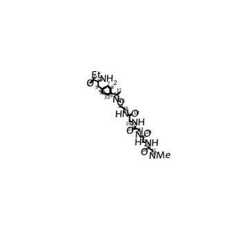 CCC(=O)[C@@H](N)Cc1ccc(/C(C)=N/OCCNC(=O)CNC(=O)CNC(=O)CNC(=O)CNC)cc1